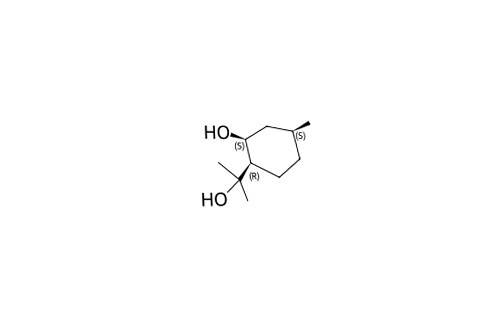 C[C@H]1CC[C@@H](C(C)(C)O)[C@@H](O)C1